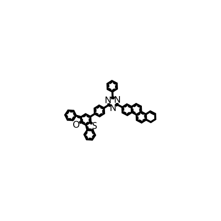 C1=Cc2c(ccc3c2ccc2cc(-c4nc(-c5ccccc5)nc(-c5ccc(-c6cc7c8ccccc8oc7c7c6sc6ccccc67)cc5)n4)ccc23)CC1